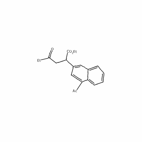 CCOC(=O)C(CC(=O)CC)c1cc(C(C)=O)c2ccccc2c1